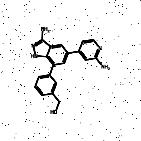 Nc1cc(-c2cc(-c3cccc(CO)c3)c3[nH]nc(N)c3c2)ccn1